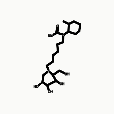 CC1CCCCC1N(CCCCCCN1C[C@H](O)C(O)C(O)C1CO)C(=O)C(C)(C)C